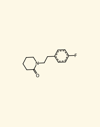 O=C1CCCCN1CCc1ccc(F)cc1